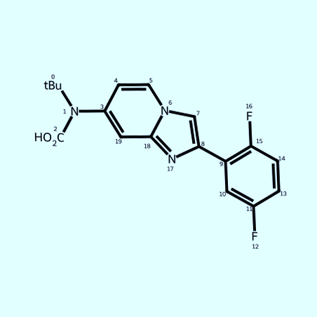 CC(C)(C)N(C(=O)O)c1ccn2cc(-c3cc(F)ccc3F)nc2c1